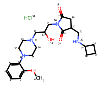 COc1ccccc1N1CCN(CC(O)CN2C(=O)CC(CNC3CCC3)C2=O)CC1.Cl